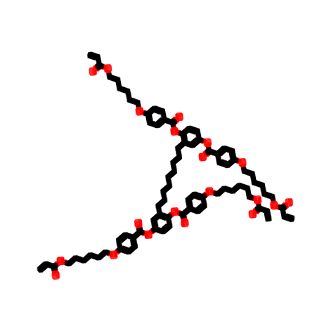 C=CC(=O)OCCCCCCOc1ccc(C(=O)Oc2ccc(OC(=O)c3ccc(OCCCCCCOC(=O)C=C)cc3)c(CCCCCCCCCc3cc(OC(=O)c4ccc(OCCCCCCOC(=O)C=C)cc4)ccc3OC(=O)c3ccc(OCCCCCCOC(=O)C=C)cc3)c2)cc1